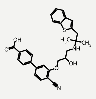 CC(C)(Cc1cc2ccccc2s1)NCC(O)COc1cc(-c2ccc(C(=O)O)cc2)ccc1C#N